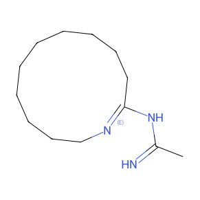 CC(=N)N/C1=N/CCCCCCCCCC1